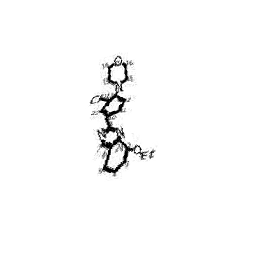 CCOC1=CCCc2cnc(-c3ccc(N4CCOCC4)c(Cl)c3)nc21